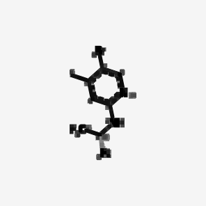 CC[C@@H](Nc1cc(C)c(Br)cn1)C(F)(F)F